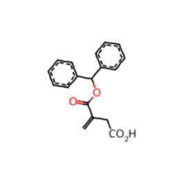 C=C(CC(=O)O)C(=O)OC(c1ccccc1)c1ccccc1